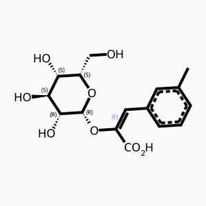 Cc1cccc(/C=C(/O[C@H]2O[C@@H](CO)[C@@H](O)[C@H](O)[C@H]2O)C(=O)O)c1